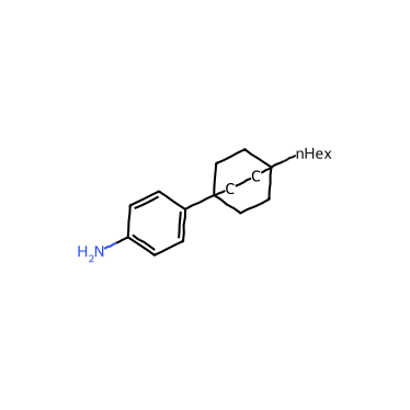 CCCCCCC12CCC(c3ccc(N)cc3)(CC1)CC2